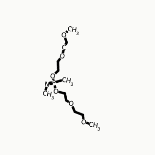 CN=P(C)(OCCOCCOC)OCCOCCOC